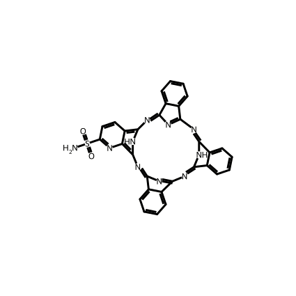 NS(=O)(=O)c1ccc2c3nc4nc(nc5[nH]c(nc6nc(nc([nH]3)c2n1)-c1ccccc1-6)c1ccccc51)-c1ccccc1-4